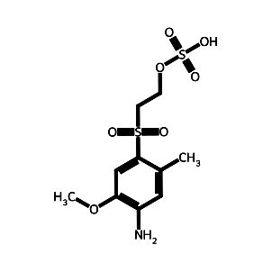 COc1cc(S(=O)(=O)CCOS(=O)(=O)O)c(C)cc1N